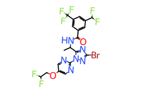 CC(NC(=O)c1cc(C(F)F)cc(C(F)(F)F)c1)c1nc(Br)nn1-c1ncc(OCC(F)F)cn1